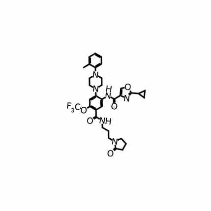 Cc1ccccc1N1CCN(c2cc(OC(F)(F)F)c(C(=O)NCCCN3CCCC3=O)cc2NC(=O)c2coc(C3CC3)n2)CC1